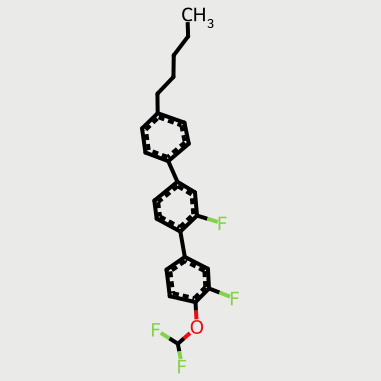 CCCCCc1ccc(-c2ccc(-c3ccc(OC(F)F)c(F)c3)c(F)c2)cc1